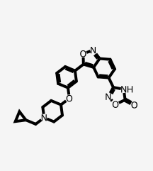 O=c1[nH]c(-c2ccc3noc(-c4cccc(OC5CCN(CC6CC6)CC5)c4)c3c2)no1